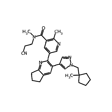 Cc1ncc(-c2nc3c(cc2-c2cnn(CC4(C)CCCC4)c2)CCC3)cc1C(=O)N(C)CCC#N